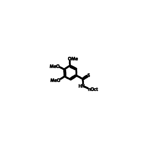 CCCCCCCCNC(=S)c1cc(OC)c(OC)c(OC)c1